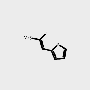 CSC(I)=Cc1cccs1